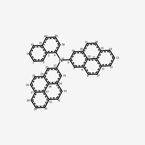 c1ccc2c(N(c3cc4ccc5cccc6ccc(c3)c4c56)c3cc4ccc5cccc6ccc(c3)c4c56)cccc2c1